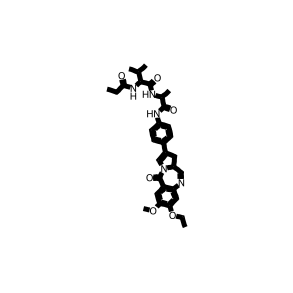 CCOc1cc2c(cc1OC)C(=O)N1C=C(c3ccc(NC(=O)C(C)NC(=O)C(NC(=O)CC)C(C)C)cc3)CC1C=N2